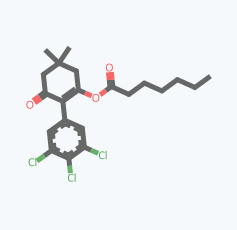 CCCCCCC(=O)OC1=C(c2cc(Cl)c(Cl)c(Cl)c2)C(=O)CC(C)(C)C1